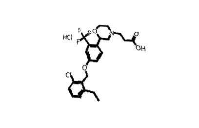 CCc1cccc(Cl)c1COc1ccc(C2CN(CCC(=O)O)CCO2)c(C(F)(F)F)c1.Cl